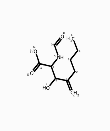 C=C(CCCC)C(O)C(NC=O)C(=O)O